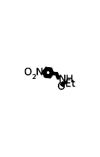 CCC(=O)NCCc1ccc([N+](=O)[O-])cc1